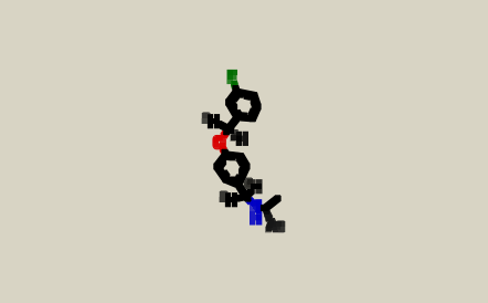 [2H]C([2H])(N[C@@H](C)C(C)=O)c1ccc(OC([2H])([2H])c2cccc(F)c2)cc1